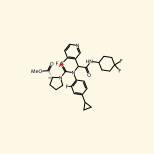 COC(=O)[C@H]1CCCN1C(=O)N(c1ccc(C2CC2)cc1F)C(C(=O)NC1CCC(F)(F)CC1)c1cnccc1C(F)(F)F